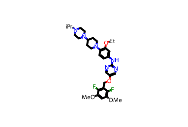 CCOc1cc(Nc2ncc(OCc3c(F)c(OC)cc(OC)c3F)cn2)ccc1N1CCC(N2CCN(C(C)C)CC2)CC1